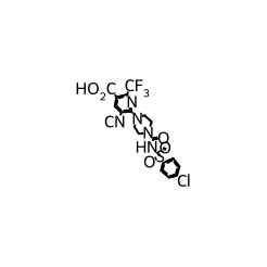 N#Cc1cc(C(=O)O)c(C(F)(F)F)nc1N1CCN(C(=O)NS(=O)(=O)c2ccc(Cl)cc2)CC1